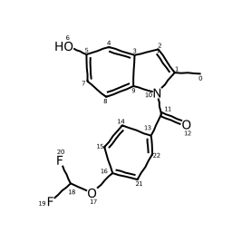 Cc1[c]c2cc(O)ccc2n1C(=O)c1ccc(OC(F)F)cc1